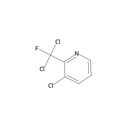 FC(Cl)(Cl)c1ncccc1Cl